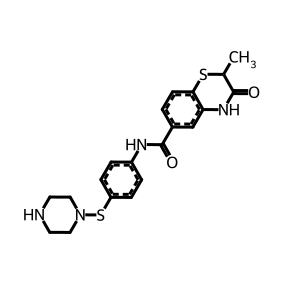 CC1Sc2ccc(C(=O)Nc3ccc(SN4CCNCC4)cc3)cc2NC1=O